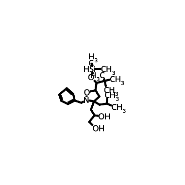 CC(C)CC1(CC(O)CO)CC(C(O[SiH](C)C)C(C)(C)C)ON1Cc1ccccc1